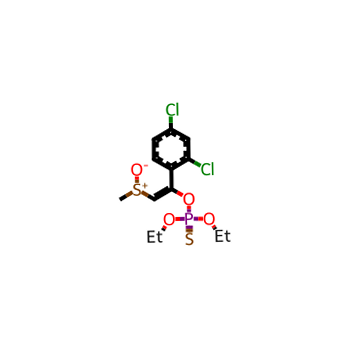 CCOP(=S)(OCC)OC(=C[S+](C)[O-])c1ccc(Cl)cc1Cl